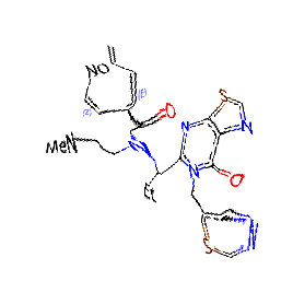 C=C/C=C(\C=C/N=O)C(=O)N(CCNC)C(CC)c1nc2scnc2c(=O)n1Cc1cncs1